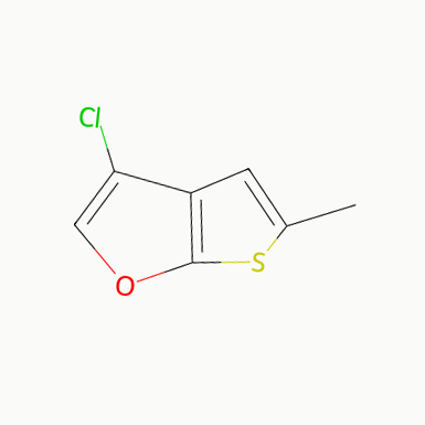 Cc1cc2c(Cl)coc2s1